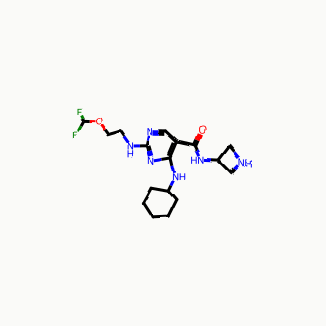 O=C(NC1CNC1)c1cnc(NCCOC(F)F)nc1NC1CCCCC1